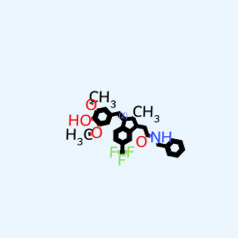 COc1cc(/C=C2\c3ccc(C(F)(F)F)cc3C(CC(=O)NCc3ccccc3)C2C)cc(OC)c1O